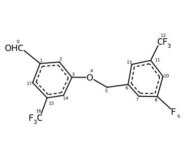 O=Cc1cc(OCc2cc(F)cc(C(F)(F)F)c2)cc(C(F)(F)F)c1